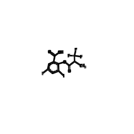 CC(C(=O)Oc1c(I)cc(I)cc1C(=O)O)C(F)(F)F